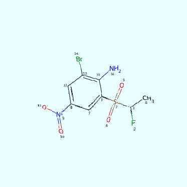 CC(F)S(=O)(=O)c1cc([N+](=O)[O-])cc(Br)c1N